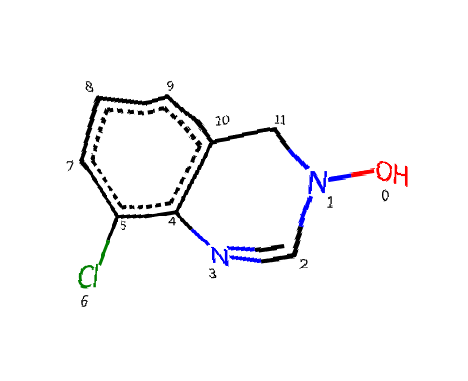 ON1C=Nc2c(Cl)cccc2C1